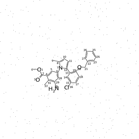 COC(=O)c1cc(-n2c(C)ccc2-c2cc(Cl)ccc2OCc2ccccc2)cc(N)c1C